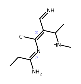 CC/C(N)=N\C(Cl)=C(\C=N)C(C)NC